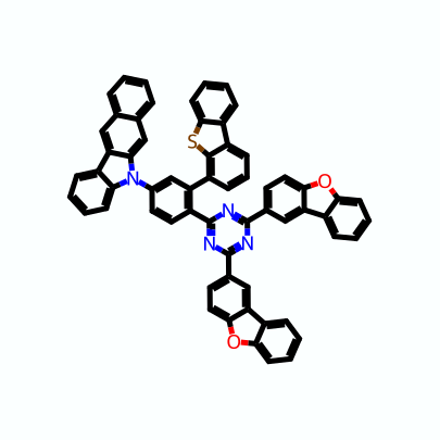 c1ccc2cc3c(cc2c1)c1ccccc1n3-c1ccc(-c2nc(-c3ccc4oc5ccccc5c4c3)nc(-c3ccc4oc5ccccc5c4c3)n2)c(-c2cccc3c2sc2ccccc23)c1